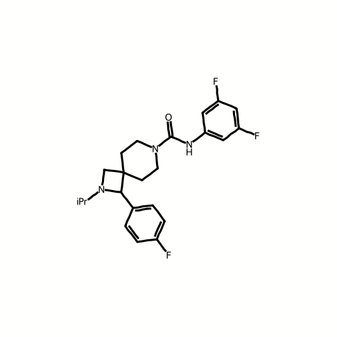 CC(C)N1CC2(CCN(C(=O)Nc3cc(F)cc(F)c3)CC2)C1c1ccc(F)cc1